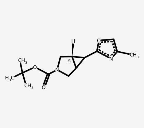 Cc1coc(C2C3CN(C(=O)OC(C)(C)C)C[C@@H]32)n1